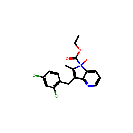 CCOC(=O)[N+]1([O-])C(C)=C(Cc2ccc(Cl)cc2Cl)c2ncccc21